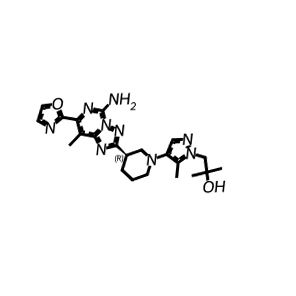 Cc1c(-c2ncco2)nc(N)n2nc([C@@H]3CCCN(c4cnn(CC(C)(C)O)c4C)C3)nc12